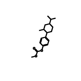 COC(=O)Oc1ccc(C2CCC(C(C)C)CC2C)cc1